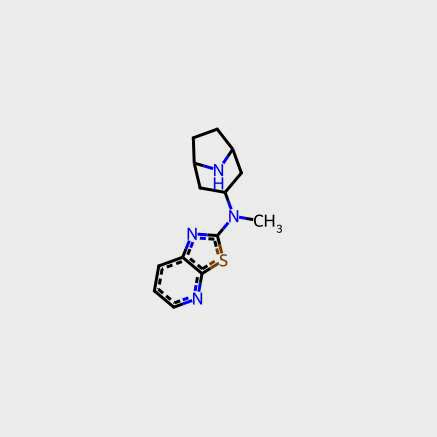 CN(c1nc2cccnc2s1)C1CC2CCC(C1)N2